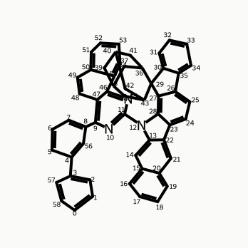 c1ccc(-c2cccc(-c3nc(-n4c5cc6ccccc6cc5c5ccc6c(c54)C4(c5ccccc5-6)C5CC6CC(C5)CC4C6)nc4c3ccc3ccccc34)c2)cc1